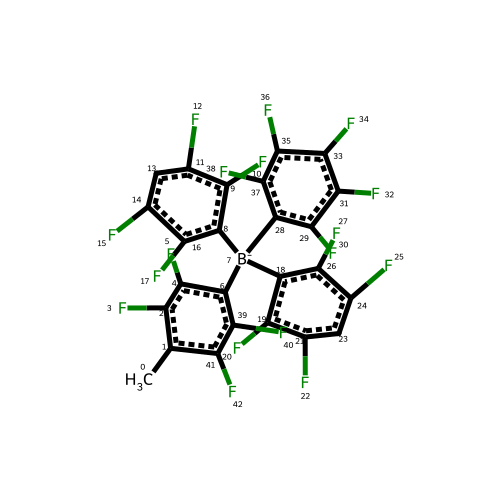 Cc1c(F)c(F)c([B-](c2c(F)c(F)cc(F)c2F)(c2c(F)c(F)cc(F)c2F)c2c(F)c(F)c(F)c(F)c2F)c(F)c1F